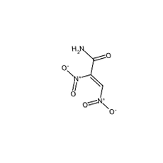 NC(=O)C(=C[N+](=O)[O-])[N+](=O)[O-]